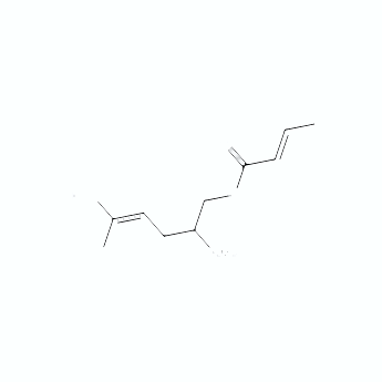 CC=CC(=O)OCC(CC=C(C)C(=O)O)NC